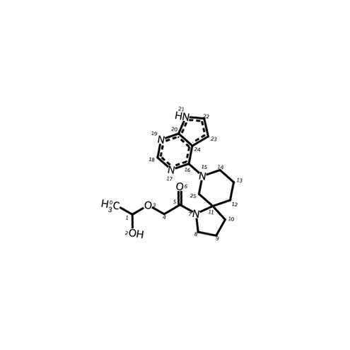 CC(O)OCC(=O)N1CCCC12CCCN(c1ncnc3[nH]ccc13)C2